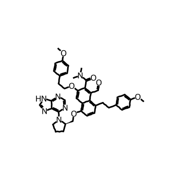 COc1ccc(CCOc2cc3c(OC[C@H]4CCCN4c4ncnc5[nH]cnc45)ccc(CCc4ccc(OC)cc4)c3c(C=O)c2C(=O)N(C)C)cc1